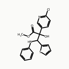 COC(=O)C(O)(c1ccc(Cl)nc1)C(Nc1ccccc1)c1cccs1